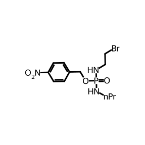 CCCNP(=O)(NCCBr)OCc1ccc([N+](=O)[O-])cc1